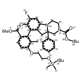 COC(=O)c1ccc(OCCO[Si](C)(C)C(C)(C)C)c(F)c1-c1c(Cl)c(F)cc2c1CC1(c3ccccc3)CN(C(=O)OC(C)(C)C)CCN21